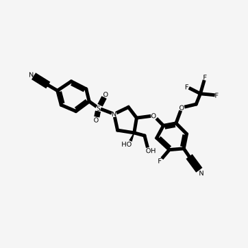 N#Cc1ccc(S(=O)(=O)N2CC(Oc3cc(F)c(C#N)cc3OCC(F)(F)F)[C@](O)(CO)C2)cc1